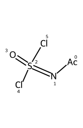 CC(=O)N=S(=O)(Cl)Cl